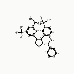 O=C(O)c1cc(C(F)(F)F)cc(C2=C(c3cc(C(F)(F)F)ccc3OCc3ccccc3)CCC2)n1